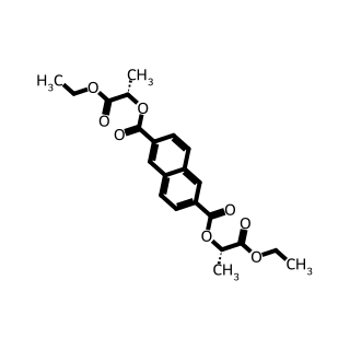 CCOC(=O)[C@H](C)OC(=O)c1ccc2cc(C(=O)O[C@@H](C)C(=O)OCC)ccc2c1